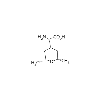 C[C@@H]1CC(C(N)C(=O)O)C[C@@H](C)O1